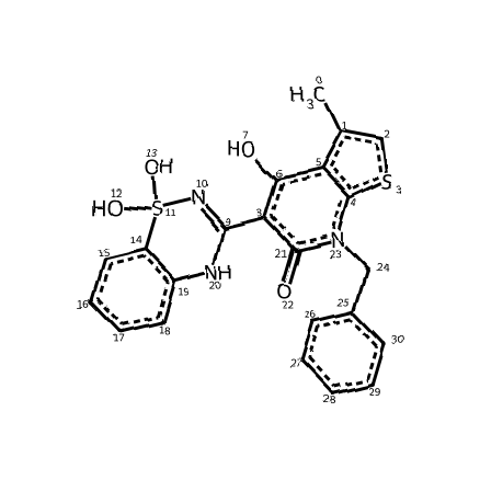 Cc1csc2c1c(O)c(C1=NS(O)(O)c3ccccc3N1)c(=O)n2Cc1ccccc1